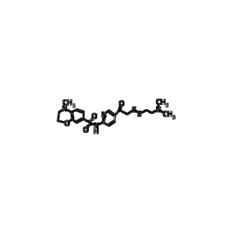 CN(C)CCSSCC(=O)c1ccc(NS(=O)(=O)c2ccc3c(c2)OCCN3C)nc1